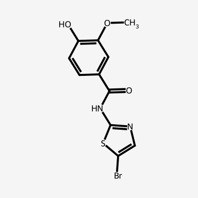 COc1cc(C(=O)Nc2ncc(Br)s2)ccc1O